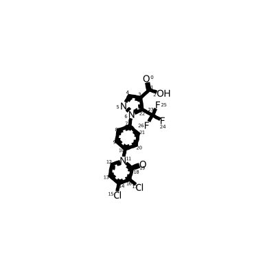 O=C(O)c1cnn(-c2ccc(-n3ccc(Cl)c(Cl)c3=O)cc2)c1C(F)(F)F